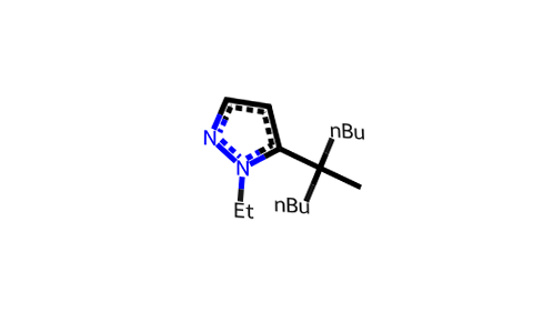 CCCCC(C)(CCCC)c1ccnn1CC